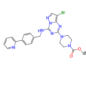 CC(C)(C)OC(=O)N1CCN(c2nc(NCc3ccc(-c4ccccn4)cc3)n3ncc(Br)c3n2)CC1